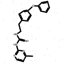 Cc1ccnc(NC(=N)NCCc2ccc(Oc3ccccc3)cc2)n1